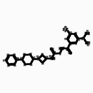 O=C(CNC(=O)c1cc(N(O)O)cc(C(F)(F)F)c1)NC1CN(C2CCC(c3ccccc3)CC2)C1